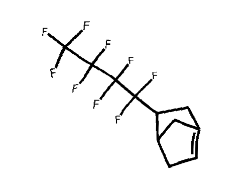 FC(F)(F)C(F)(F)C(F)(F)C(F)(F)C1CC2=CCC1C2